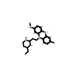 CCC1CCNC(CCN2c3ccc(C)cc3Sc3ccc(SC)cc32)C1